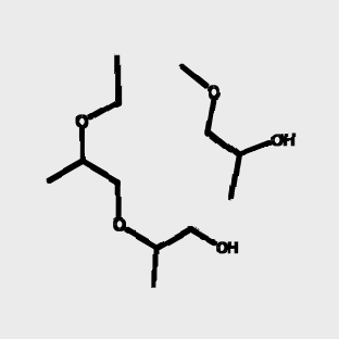 CCOC(C)COC(C)CO.COCC(C)O